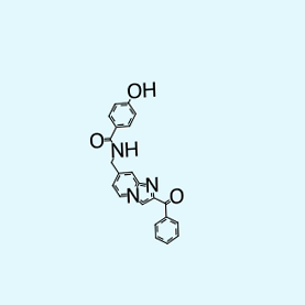 O=C(NCc1ccn2cc(C(=O)c3ccccc3)nc2c1)c1ccc(O)cc1